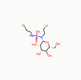 O=P(O)(NCCCl)N(CCCl)[C@@H]1O[C@H](CO)[C@@H](O)[C@H](O)[C@@H]1O